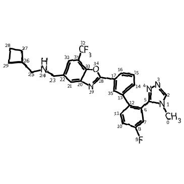 Cn1cnnc1-c1cc(F)ccc1-c1cccc(-c2nc3cc(CNCC4CCC4)cc(C(F)(F)F)c3o2)c1